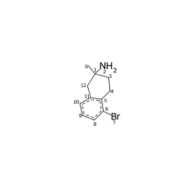 CC1(N)CCc2c(Br)cccc2C1